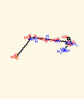 C=C(CCCCCCCCCCCCCCCS(=O)(=O)O)N[C@@H](CCC(=O)NCCOCCOCC(=O)NCCOCCOCC(=O)NCCCC[C@H](C)C(=O)C(C)[C@@H](CCCNC(=N)N)C(=O)N[C@@H](Cc1ccc(O)cc1)C(N)=O)C(=O)O